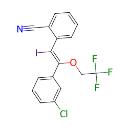 N#Cc1ccccc1/C(I)=C(\OCC(F)(F)F)c1cccc(Cl)c1